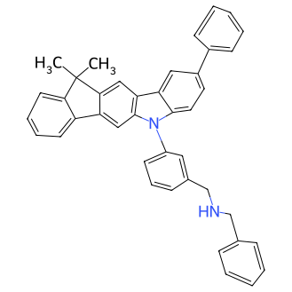 CC1(C)c2ccccc2-c2cc3c(cc21)c1cc(-c2ccccc2)ccc1n3-c1cccc(CNCc2ccccc2)c1